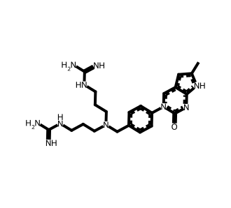 Cc1cc2cn(-c3ccc(CN(CCCNC(=N)N)CCCNC(=N)N)cc3)c(=O)nc2[nH]1